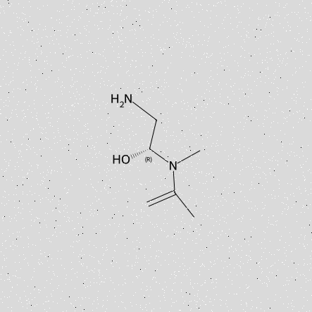 C=C(C)N(C)[C@H](O)CN